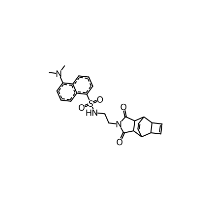 CN(C)c1cccc2c(S(=O)(=O)NCCN3C(=O)C4C5C=CC(C6C=CC65)C4C3=O)cccc12